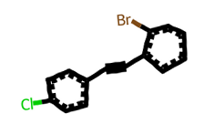 Clc1ccc(C#Cc2ccccc2Br)cc1